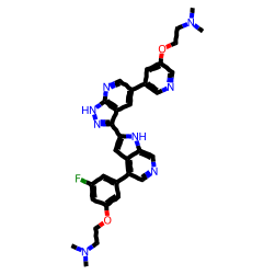 CN(C)CCOc1cncc(-c2cnc3[nH]nc(-c4cc5c(-c6cc(F)cc(OCCN(C)C)c6)cncc5[nH]4)c3c2)c1